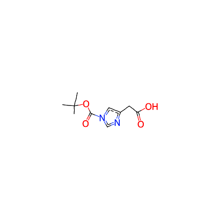 CC(C)(C)OC(=O)n1cnc(CC(=O)O)c1